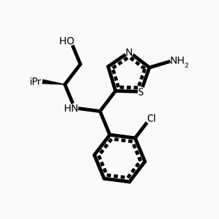 CC(C)[C@@H](CO)NC(c1cnc(N)s1)c1ccccc1Cl